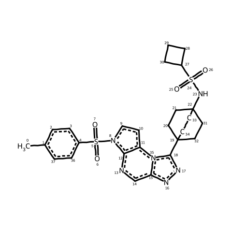 Cc1ccc(S(=O)(=O)n2ccc3c2ncc2nnc(C45CCC(NS(=O)(=O)C6CCC6)(CC4)CC5)n23)cc1